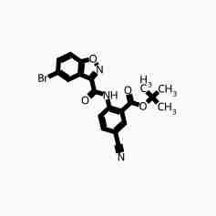 CC(C)(C)OC(=O)c1cc(C#N)ccc1NC(=O)c1noc2ccc(Br)cc12